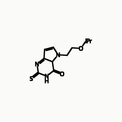 CC(C)OCCN1C=CC2=NC(=S)NC(=O)C21